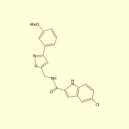 COc1cccc(-c2cc(CNC(=O)c3cc4cc(Cl)ccc4[nH]3)on2)c1